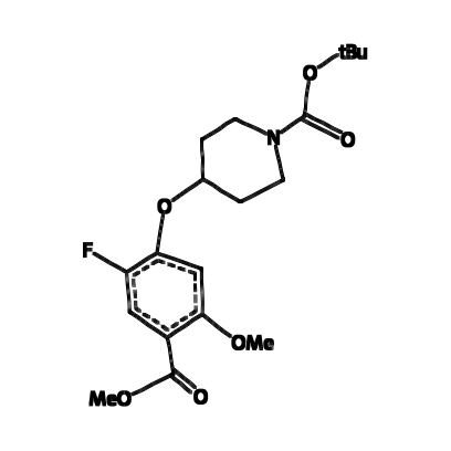 COC(=O)c1cc(F)c(OC2CCN(C(=O)OC(C)(C)C)CC2)cc1OC